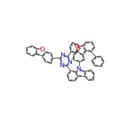 c1ccc(-c2nc(-c3ccc4c(c3)oc3ccccc34)nc(-c3cccc4c5ccccc5n(-c5ccc6oc7cccc(-c8ccccc8)c7c6c5)c34)n2)cc1